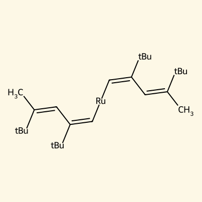 C/C(=C/C(=[CH]\[Ru]/[CH]=C(\C=C(\C)C(C)(C)C)C(C)(C)C)C(C)(C)C)C(C)(C)C